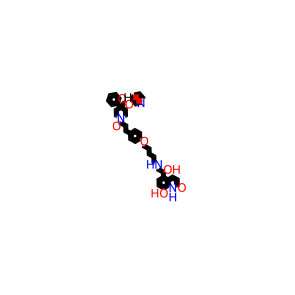 O=C(CCc1ccc(OCCCCCNCC(O)c2ccc(O)c3[nH]c(=O)ccc23)cc1)N1CCC(C(=O)O[C@H]2CN3CCC2CC3)(c2ccccc2)CC1